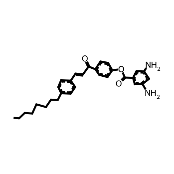 CCCCCCCCc1ccc(/C=C/C(=O)c2ccc(OC(=O)c3cc(N)cc(N)c3)cc2)cc1